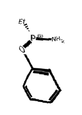 CC[P@](N)Oc1ccccc1